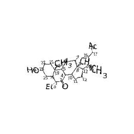 CC[C@H]1C(=O)C2C(CC[C@@]3(C)C2CC[C@@H]3[C@H](C)CCC(C)=O)[C@@]2(C)CC[C@@H](O)CC12